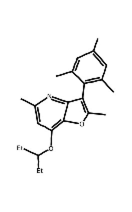 CCC(CC)Oc1cc(C)nc2c(-c3c(C)cc(C)cc3C)c(C)oc12